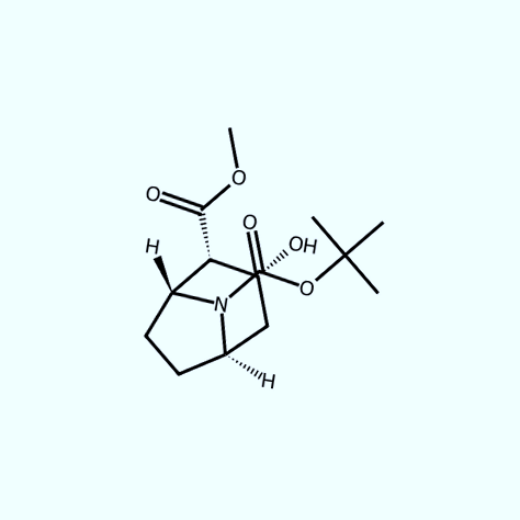 COC(=O)[C@@H]1[C@H](O)C[C@H]2CC[C@H]1N2C(=O)OC(C)(C)C